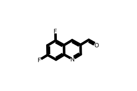 O=Cc1cnc2cc(F)cc(F)c2c1